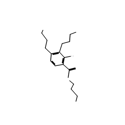 CCCCOC(=O)c1ccc(CCCC)c(CCCC)c1N